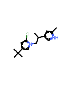 Cc1cc(C(C)Cn2cc(C(C)(C)C)cc2Cl)c[nH]1